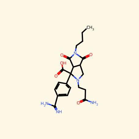 CCCCN1C(=O)C2CN(CCC(N)=O)C(C(=O)O)(c3ccc(C(=N)N)cc3)C2C1=O